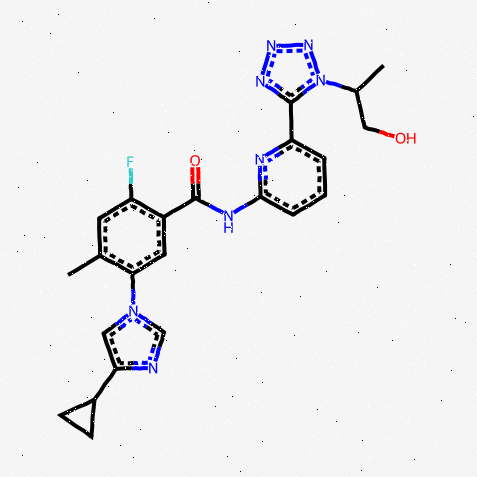 Cc1cc(F)c(C(=O)Nc2cccc(-c3nnnn3C(C)CO)n2)cc1-n1cnc(C2CC2)c1